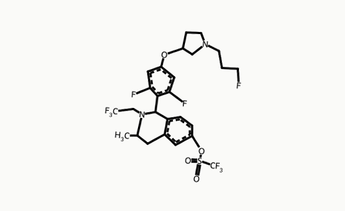 CC1Cc2cc(OS(=O)(=O)C(F)(F)F)ccc2C(c2c(F)cc(OC3CCN(CCCF)C3)cc2F)N1CC(F)(F)F